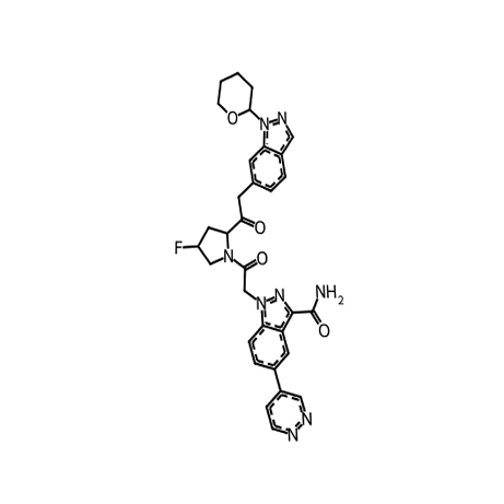 NC(=O)c1nn(CC(=O)N2CC(F)CC2C(=O)Cc2ccc3cnn(C4CCCCO4)c3c2)c2ccc(-c3ccnnc3)cc12